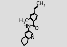 C/C=C/c1ccc(C(=O)Nc2cnc3c(c2)CCCC3)c(C)c1